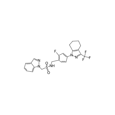 O=S(=O)(Cn1ncc2ccccc21)NCc1ccc(-n2nc(C(F)(F)F)c3c2CCCC3)cc1F